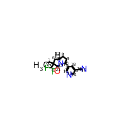 CCC1(C(F)F)C[C@@H]2CC[C@H](c3cncc(C#N)c3)N2C1=O